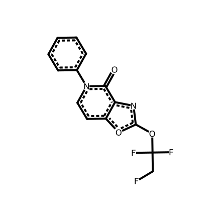 O=c1c2nc(OC(F)(F)CF)oc2ccn1-c1ccccc1